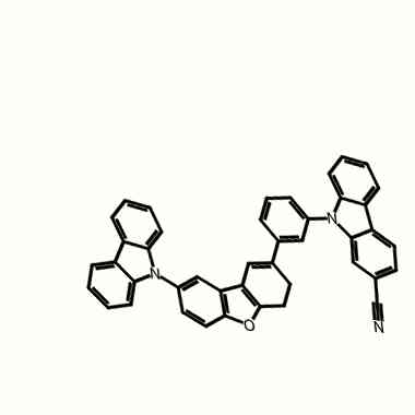 N#Cc1ccc2c3ccccc3n(-c3cccc(C4=Cc5c(oc6ccc(-n7c8ccccc8c8ccccc87)cc56)CC4)c3)c2c1